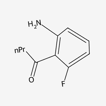 CCCC(=O)c1c(N)cccc1F